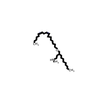 CCCCC/C=C\C/C=C\CCCCCCCCOCC(CCCCCCCCC)CCNC